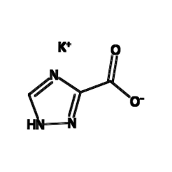 O=C([O-])c1nc[nH]n1.[K+]